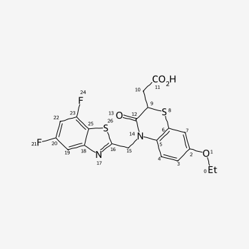 CCOc1ccc2c(c1)SC(CC(=O)O)C(=O)N2Cc1nc2cc(F)cc(F)c2s1